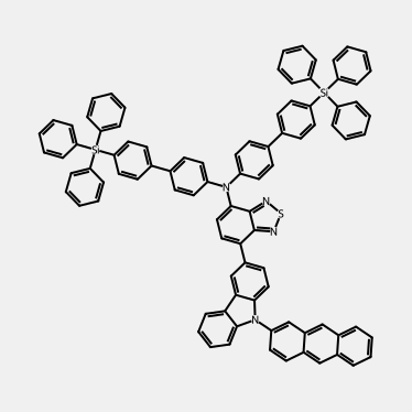 c1ccc([Si](c2ccccc2)(c2ccccc2)c2ccc(-c3ccc(N(c4ccc(-c5ccc([Si](c6ccccc6)(c6ccccc6)c6ccccc6)cc5)cc4)c4ccc(-c5ccc6c(c5)c5ccccc5n6-c5ccc6cc7ccccc7cc6c5)c5nsnc45)cc3)cc2)cc1